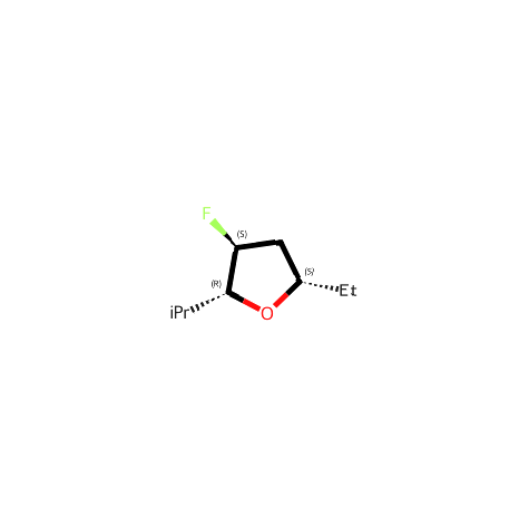 CC[C@H]1C[C@H](F)[C@@H](C(C)C)O1